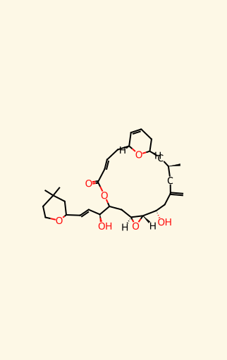 C=C1C[C@H](C)C[C@@H]2CC=C[C@@H](C/C=C\C(=O)OC([C@@H](O)/C=C/C3CC(C)(C)CCO3)C[C@@H]3O[C@H]3[C@@H](O)C1)O2